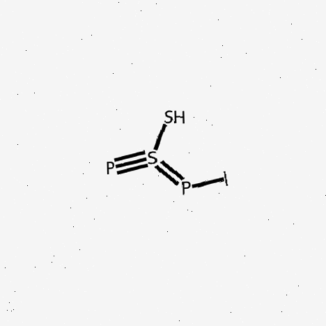 P#S(S)=PI